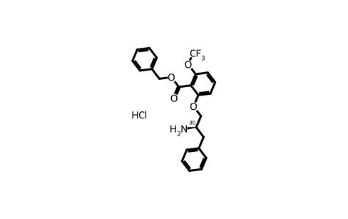 Cl.N[C@@H](COc1cccc(OC(F)(F)F)c1C(=O)OCc1ccccc1)Cc1ccccc1